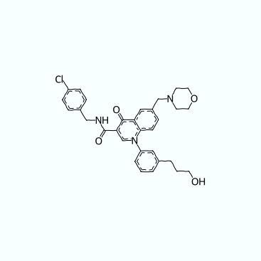 O=C(NCc1ccc(Cl)cc1)c1cn(-c2cccc(CCCO)c2)c2ccc(CN3CCOCC3)cc2c1=O